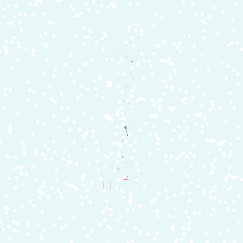 CCC=CCCC=CCCC=CCCCCCC(=O)O